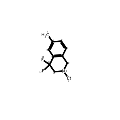 CCN1Cc2ccc(C)cc2C(F)(F)C1